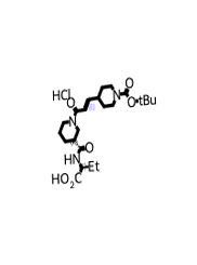 CC[C@H](NC(=O)[C@@H]1CCCN(C(=O)/C=C/C2CCN(C(=O)OC(C)(C)C)CC2)C1)C(=O)O.Cl